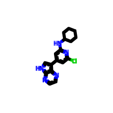 Clc1cc(-c2c[nH]c3nccnc23)cc(NC2CCCCC2)n1